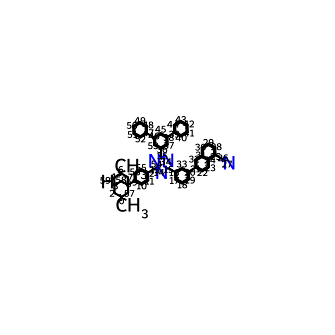 C[C@@H]1C[C@@H]2C[C@H](C)CC(c3ccc(-c4nc(-c5cccc(-c6ccc7c(C#N)cccc7c6)c5)nc(-c5cc(-c6ccccc6)cc(-c6ccccc6)c5)n4)cc3)(C1)C2